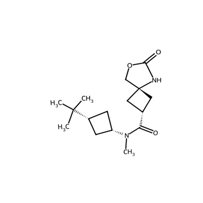 CN(C(=O)[C@H]1C[C@]2(COC(=O)N2)C1)[C@H]1C[C@@H](C(C)(C)C)C1